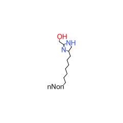 CCCCCCCCCCCCCCCCC1CNC(CO)=N1